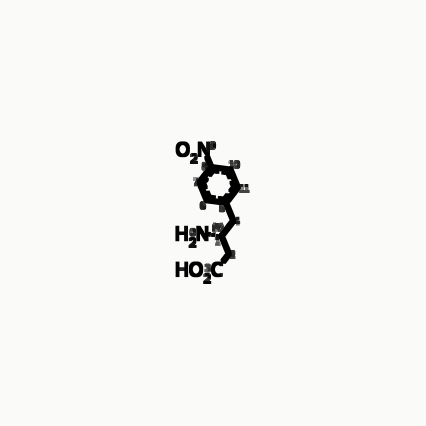 N[C@@H](CC(=O)O)Cc1ccc([N+](=O)[O-])cc1